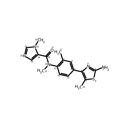 Cc1cc(-c2nc(N)sc2C)ccc1N(C)C(=O)c1cncn1C